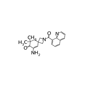 CC1(C)CC2(C=C(N)C1=O)CN(C(=O)c1cccc3cccnc13)C2